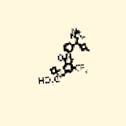 CC1CC(C(c2cccc(N3Cc4c(cc(CN(C(=O)O)C5(C)CCC5)cc4C(F)(F)F)C3=O)c2)c2nncn2C)C1